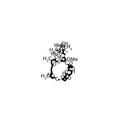 C=C1C(C)CC2CC[C@@H]3OC(CC[C@@]45CC6OC7C(O4)[C@H]4OC(CCC4O[C@H]7C6O5)CC(=O)CC4C(CC1O2)O[C@H](CC(CO[Si](C)(C)C(C)(C)C)O[Si](C)(C)C(C)(C)C)[C@@H]4OC)CC3=C